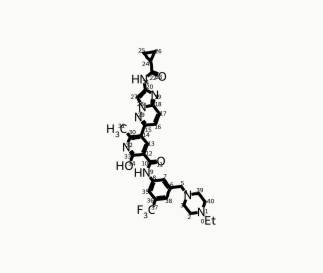 CCN1CCN(Cc2cc(NC(=O)c3cc(-c4ccc5nc(NC(=O)C6CC6)cn5n4)c(C)nc3O)cc(C(F)(F)F)c2)CC1